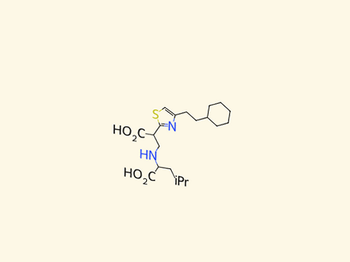 CC(C)CC(NCC(C(=O)O)c1nc(CCC2CCCCC2)cs1)C(=O)O